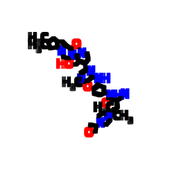 Cn1cc(-c2ccnc(N3CCn4c(cc5c4CC(C)(C)C5)C3=O)c2CO)nc(Nc2cccc(NC(=O)/C(C#N)=C\C(C)(C)N3CCN(C4COC4)CC3)c2)c1=O